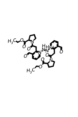 CCOC(=O)C1CCCN1C(=O)Cc1c(C=O)ccc[n+]1NN[n+]1cccc(C=O)c1CC(=O)N1CCCC1C(=O)OCC